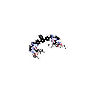 CCC(C)[C@H](NC(=O)OC)C(=O)N1C2CC2C[C@H]1c1ncc(-c2ccc(-c3ccc(-c4ccc(-c5cnc([C@@H]6CC7CC7N6C(=O)[C@@H](NC(=O)OC)C(C)CC)[nH]5)cc4)c4c3C3CCC4C3)cc2)[nH]1